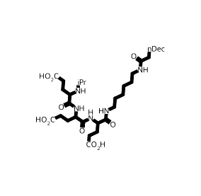 CCCCCCCCCCCC(=O)NCCCCCCNC(=O)C(CCC(=O)O)NC(=O)C(CCC(=O)O)NC(=O)C(CCC(=O)O)NC(C)C